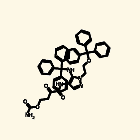 NC(=O)OCCC(=O)C(=O)Nc1cnn(CCOC(c2ccccc2)(c2ccccc2)c2ccccc2)c1NC(c1ccccc1)(c1ccccc1)c1ccccc1